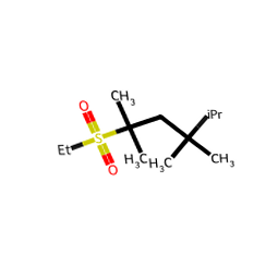 CCS(=O)(=O)C(C)(C)CC(C)(C)C(C)C